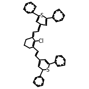 ClC1=C(C=CC2=CC(c3ccccc3)SC(c3ccccc3)=C2)CCCC1=CC=C1C=C(c2ccccc2)SC(c2ccccc2)=C1